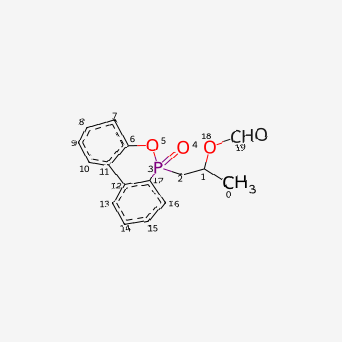 CC(CP1(=O)Oc2ccccc2-c2ccccc21)OC=O